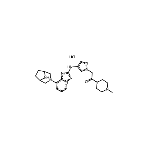 CN1CCN(C(=O)Cn2cc(Nc3nc4c(N5CC6CCC(C5)N6)cccn4n3)cn2)CC1.Cl